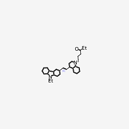 CCC(=O)CCC[n+]1ccc(/C=C/c2ccc3c(c2)c2ccccc2n3CC)c2ccccc21